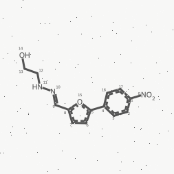 O=[N+]([O-])c1ccc(-c2ccc(C=NNCCO)o2)cc1